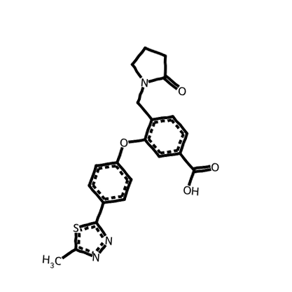 Cc1nnc(-c2ccc(Oc3cc(C(=O)O)ccc3CN3CCCC3=O)cc2)s1